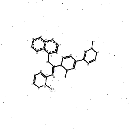 CC1C=C(C2=CC(C)C(/C(Cc3cccc4ccccc34)=N/C3=CC=CCC3N)C=C2)C=CC1